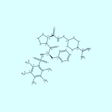 Cc1c(C)c(C)c(S(=O)(=O)N[C@H](Cc2ccccc2)C(=O)N2CCC[C@H]2C(=O)NCC2CCN(C(=N)N)CC2)c(C)c1C